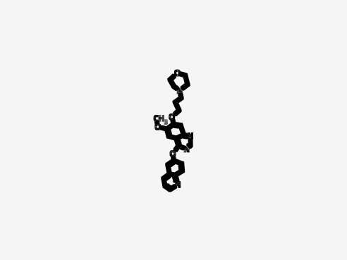 COc1cc2c(Oc3ccc4ncccc4c3)ncnc2cc1OCCCN1CCOCC1